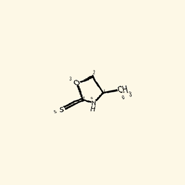 CC1COC(=S)N1